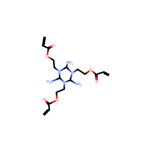 C=CC(=O)OCCN1C(N)N(CCOC(=O)C=C)C(N)N(CCOC(=O)C=C)C1N